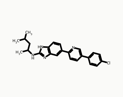 CC(C)CC(C)Nc1nc2cc(-c3ccc(-c4ccc(Cl)cc4)cn3)ccc2[nH]1